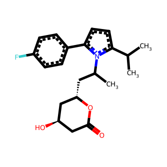 CC(C)c1ccc(-c2ccc(F)cc2)n1C(C)C[C@H]1C[C@H](O)CC(=O)O1